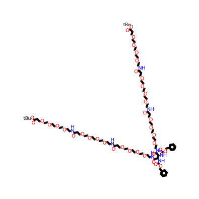 CC(C)(C)OC(=O)CCOCCOCCOCCOCCNC(=O)CCOCCOCCOCCOCCNC(=O)CCOCCOCCOCCOCCNC(=O)[C@H](NC(=O)OCc1ccccc1)[C@@H](NC(=O)OCc1ccccc1)C(=O)NCCOCCOCCOCCOCCC(=O)NCCOCCOCCOCCOCCC(=O)NCCOCCOCCOCCOCCC(=O)OC(C)(C)C